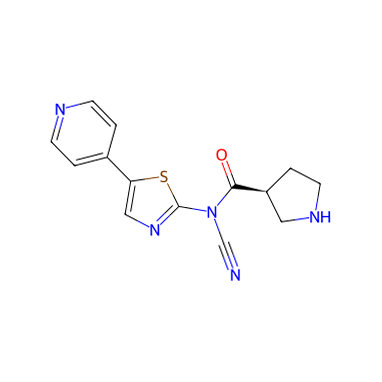 N#CN(C(=O)[C@H]1CCNC1)c1ncc(-c2ccncc2)s1